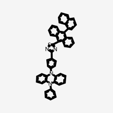 c1ccc(N2c3ccccc3N(c3ccc(-c4nsc(-c5c6ccccc6c(-c6cccc7ccccc67)c6ccccc56)n4)cc3)c3ccccc32)cc1